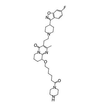 Cc1nc2n(c(=O)c1CCN1CCC(c3noc4cc(F)ccc34)CC1)CCCC2OCCCCCC(=O)N1CCNCC1